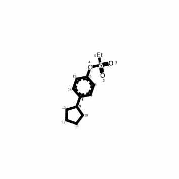 CCS(=O)(=O)Oc1ccc(C2CCCC2)cc1